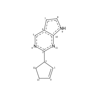 C1=CC(c2ncc3cc[nH]c3n2)CC1